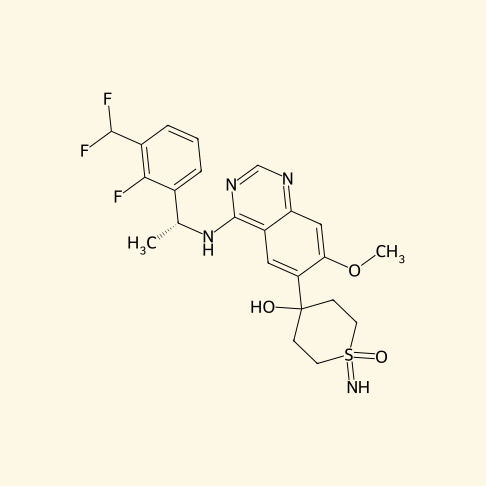 COc1cc2ncnc(N[C@H](C)c3cccc(C(F)F)c3F)c2cc1C1(O)CCS(=N)(=O)CC1